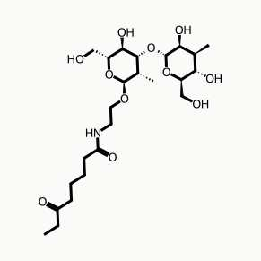 CCC(=O)CCCCC(=O)NCCO[C@H]1O[C@H](CO)[C@@H](O)[C@H](O[C@H]2O[C@H](CO)[C@@H](O)[C@H](C)[C@@H]2O)[C@@H]1C